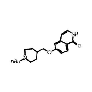 CCCCN1CCC(COc2ccc3c(=O)[nH]ccc3c2)CC1